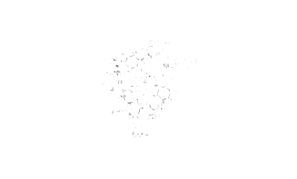 CSCCC(NC(=S)Nc1ccc(CC2CN(CC(=O)O)CCN(CC(=O)O)CCN2CC(=O)O)cc1)C(=O)NC(C(=O)NC(CCCCNC(=O)c1ccccc1)C(=O)O)C(C)C